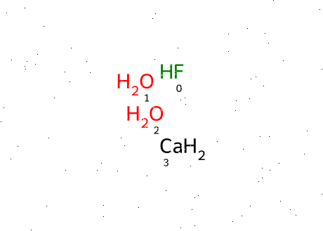 F.O.O.[CaH2]